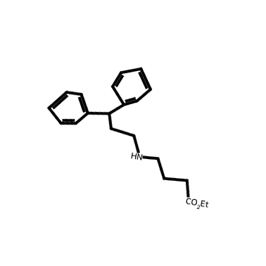 CCOC(=O)CCCNCCC(c1ccccc1)c1ccccc1